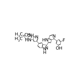 CC(C)(C)CC(O)Nc1cncc(-c2ccc3[nH]nc(-c4cc5c(-c6cc(O)cc(F)c6)nccc5[nH]4)c3c2)c1